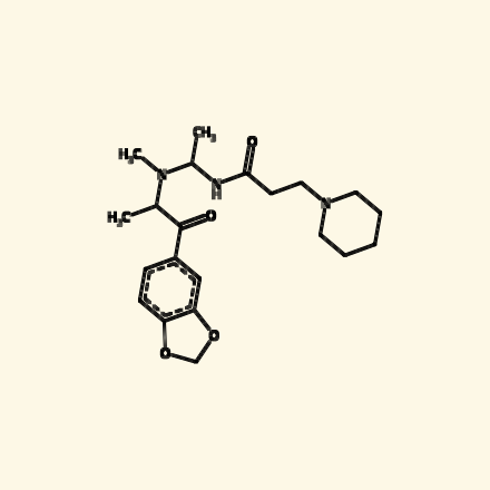 CC(NC(=O)CCN1CCCCC1)N(C)C(C)C(=O)c1ccc2c(c1)OCO2